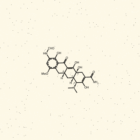 COc1cc(NC=O)c(O)c2c1C[C@H]1C[C@H]3[C@H](N(C)C)C(O)=C(C(N)=O)C[C@@]3(O)C(O)=C1C2=O